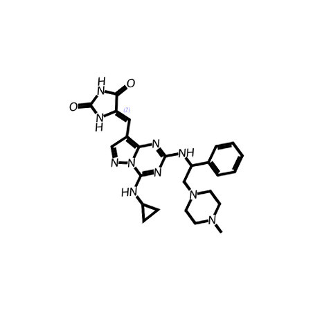 CN1CCN(CC(Nc2nc(NC3CC3)n3ncc(/C=C4\NC(=O)NC4=O)c3n2)c2ccccc2)CC1